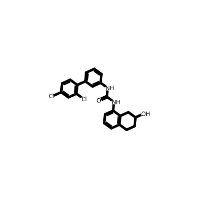 O=C(Nc1cccc(-c2ccc(Cl)cc2Cl)c1)Nc1cccc2c1CC(O)CC2